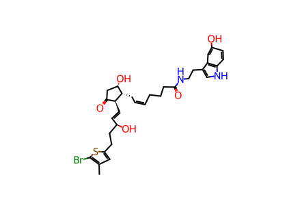 Cc1cc(CC[C@H](O)/C=C/[C@H]2C(=O)C[C@H](O)[C@@H]2C/C=C\CCCC(=O)NCCc2c[nH]c3ccc(O)cc23)sc1Br